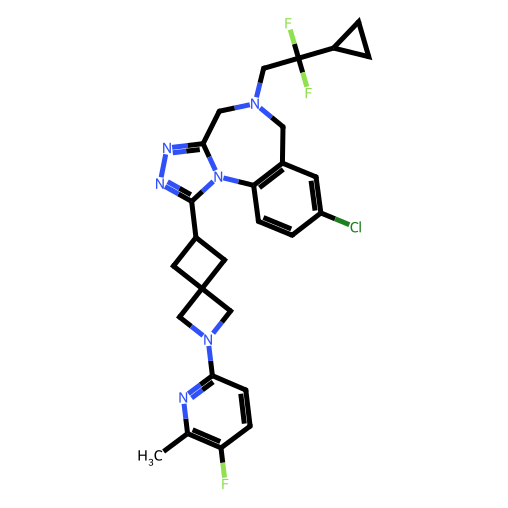 Cc1nc(N2CC3(CC(c4nnc5n4-c4ccc(Cl)cc4CN(CC(F)(F)C4CC4)C5)C3)C2)ccc1F